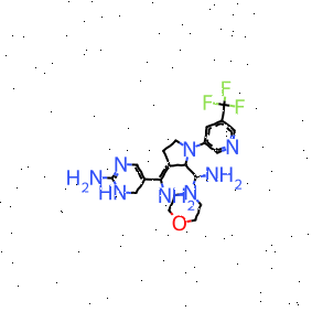 NC1=NC=C(/C(N)=C2\CCN(c3cncc(C(F)(F)F)c3)C2[C@@H](N)N2CCOCC2)CN1